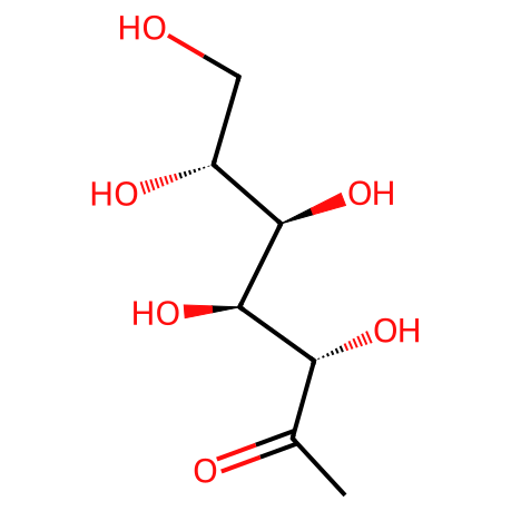 CC(=O)[C@@H](O)[C@@H](O)[C@H](O)[C@H](O)CO